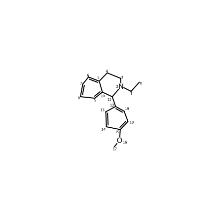 CCN1CCc2ccccc2C1c1ccc(OC)cc1